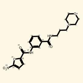 O=C(NCCCN1CCOCC1)c1cccc(NC(=O)c2ccc([N+](=O)[O-])o2)c1